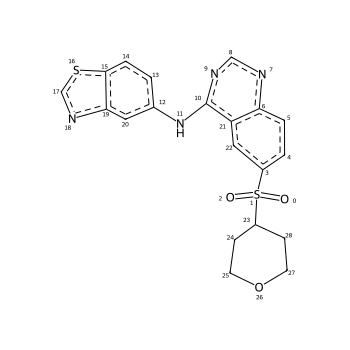 O=S(=O)(c1ccc2ncnc(Nc3ccc4scnc4c3)c2c1)C1CCOCC1